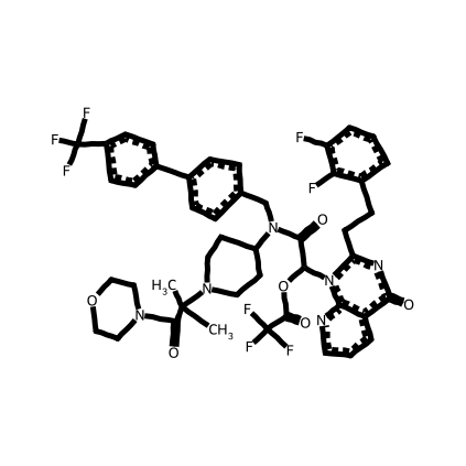 CC(C)(C(=O)N1CCOCC1)N1CCC(N(Cc2ccc(-c3ccc(C(F)(F)F)cc3)cc2)C(=O)C(OC(=O)C(F)(F)F)n2c(CCc3cccc(F)c3F)nc(=O)c3cccnc32)CC1